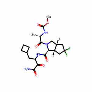 CC(C)(C)OC(=O)N[C@H](C(=O)N1C[C@@H]2CC(F)(F)C[C@@H]2[C@H]1C(=O)NC(CC1CCC1)C(=O)C(N)=O)C(C)(C)C